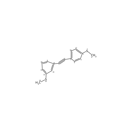 CSc1ccc(C#Cc2cccc(SC)c2)cc1